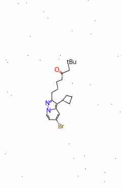 CC(C)(C)CC(=O)CCCCc1nn2ccc(Br)cc2c1C1CCC1